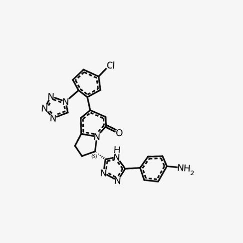 Nc1ccc(-c2nnc([C@@H]3CCc4cc(-c5cc(Cl)ccc5-n5cnnn5)cc(=O)n43)[nH]2)cc1